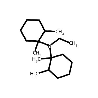 CCN(C1(C)CCCCC1C)C1(C)CCCCC1C